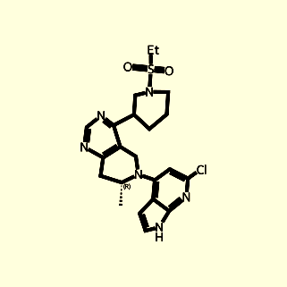 CCS(=O)(=O)N1CCCC(c2ncnc3c2CN(c2cc(Cl)nc4[nH]ccc24)[C@H](C)C3)C1